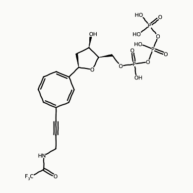 O=C(NCC#CC1=C/C=C\C=C([C@H]2C[C@@H](O)[C@@H](COP(=O)(O)OP(=O)(O)OP(=O)(O)O)O2)/C=C\1)C(F)(F)F